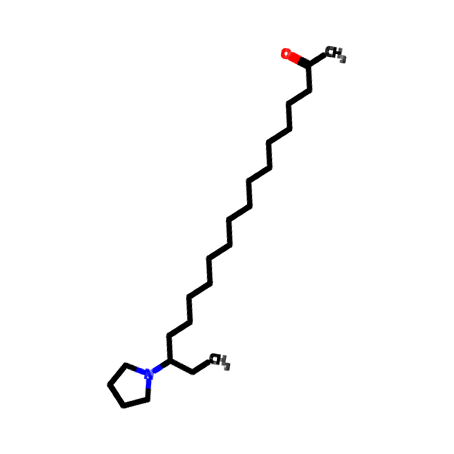 CCC(CCCCCCCCCCCCCCC(C)=O)N1CCCC1